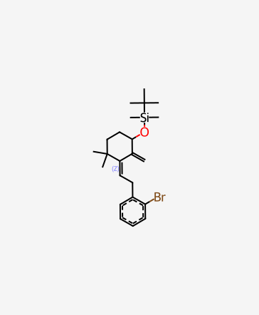 C=C1/C(=C\Cc2ccccc2Br)C(C)(C)CCC1O[Si](C)(C)C(C)(C)C